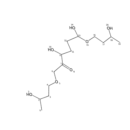 CC(O)CCOCC(=O)C(O)CCC(O)OCCC(C)O